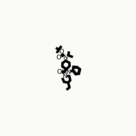 CCC1CCN(C(=O)C2(Nc3ccccc3)CCC(N(C(=O)OC(C)(C)C)C(C)C)CC2)CC1